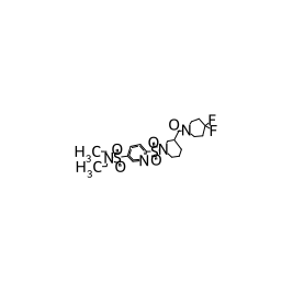 CCN(CC)S(=O)(=O)c1ccc(S(=O)(=O)N2CCCC(C(=O)N3CCC(F)(F)CC3)C2)nc1